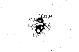 C=C(c1cc(C(=O)O)cc([N+](=O)[O-])c1)c1cc2c(cc1C)C(C)(C)CCC2(C)C